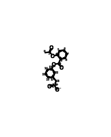 CC(=O)Oc1ccccc1C(=O)Oc1cccc(C[N+](=O)[O-])c1